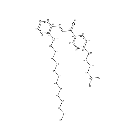 CCCCCCCCCCCCCOc1ccccc1/C=C/C(=O)c1ccc(SCCCC(C)C)cc1